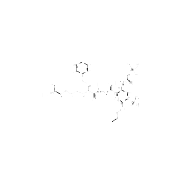 C=CCOc1nc(C(=O)NNC(=O)C(CCCC/C=C(\C)O)OCc2ccccc2)c(NC(=O)OC(C)(C)C)cc1C(F)(F)F